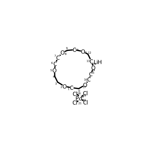 C1COCCOCCOCCOCCOCCO1.[Cl][Pd]([Cl])([Cl])[Cl].[LiH]